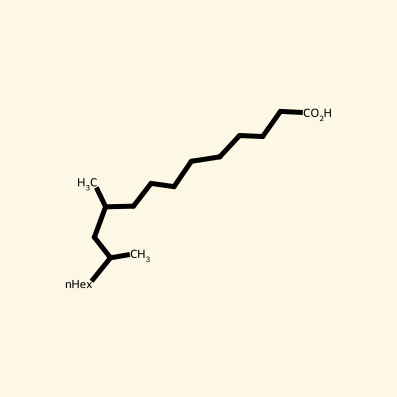 CCCCCCC(C)CC(C)CCCCCCCCC(=O)O